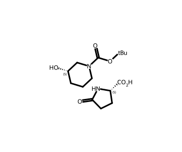 CC(C)(C)OC(=O)N1CCC[C@H](O)C1.O=C1CC[C@@H](C(=O)O)N1